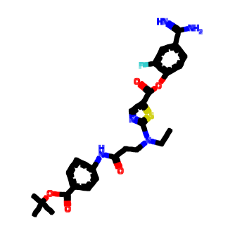 CCN(CCC(=O)Nc1ccc(C(=O)OC(C)(C)C)cc1)c1ncc(C(=O)Oc2ccc(C(=N)N)cc2F)s1